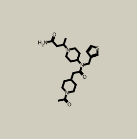 CC(=O)N1CCC(CC(=O)N(Cc2ccsc2)C2CCN(C(C)CC(N)=O)CC2)CC1